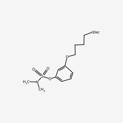 CCCCCCCCCCCCCCOc1cccc(OS(=O)(=O)N(C)C)c1